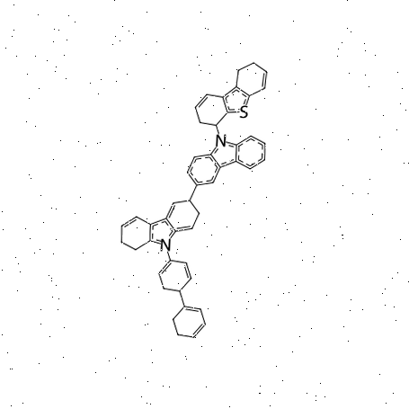 C1=CCCC(C2C=CC(n3c4c(c5c3=CCC(c3ccc6c(c3)c3ccccc3n6C3CC=Cc6c3sc3c6CCC=C3)C=5)C=CCC4)=CC2)=C1